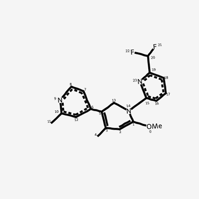 COC1=CC(C)=C(c2ccnc(C)c2)CN1c1cccc(C(F)F)n1